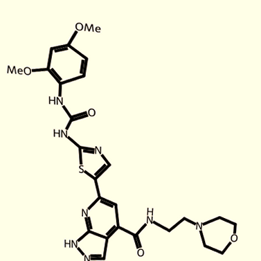 COc1ccc(NC(=O)Nc2ncc(-c3cc(C(=O)NCCN4CCOCC4)c4cn[nH]c4n3)s2)c(OC)c1